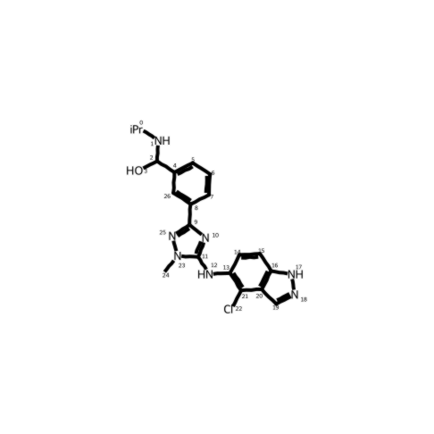 CC(C)NC(O)c1cccc(-c2nc(Nc3ccc4[nH]ncc4c3Cl)n(C)n2)c1